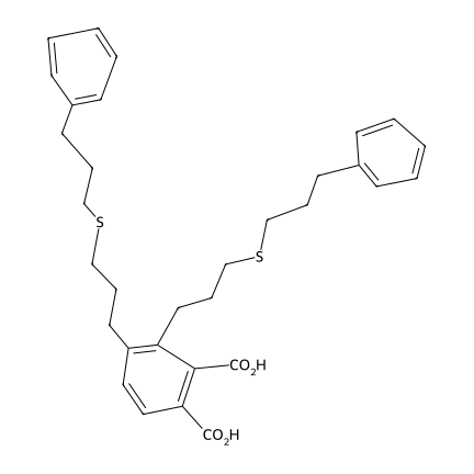 O=C(O)c1ccc(CCCSCCCc2ccccc2)c(CCCSCCCc2ccccc2)c1C(=O)O